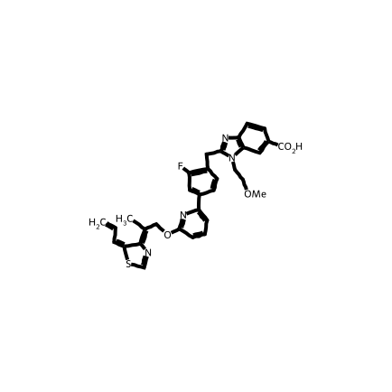 C=C/C=c1/scn/c1=C(/C)COc1cccc(-c2ccc(Cc3nc4ccc(C(=O)O)cc4n3CCOC)c(F)c2)n1